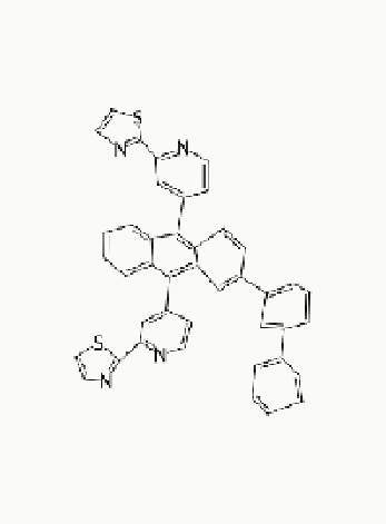 c1ccc(-c2cccc(-c3ccc4c(-c5ccnc(-c6nccs6)c5)c5ccccc5c(-c5ccnc(-c6nccs6)c5)c4c3)c2)cc1